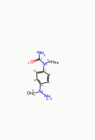 CCCCCCN(C(N)=O)c1ccc(N(N)C=O)cc1